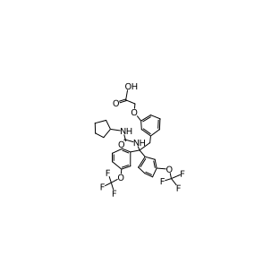 O=C(O)COc1cccc(CC(NC(=O)NC2CCCC2)(c2cccc(OC(F)(F)F)c2)c2cccc(OC(F)(F)F)c2)c1